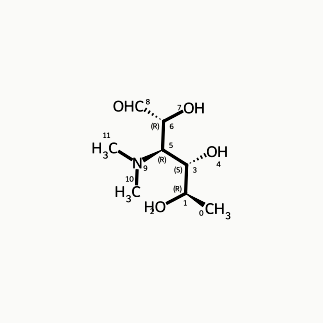 C[C@@H](O)[C@@H](O)[C@H]([C@@H](O)C=O)N(C)C